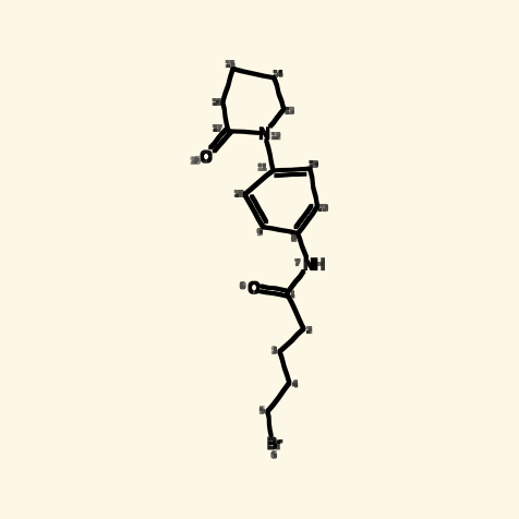 O=C(CCCCBr)Nc1ccc(N2CCCCC2=O)cc1